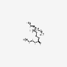 C=C(CCCN)CCCN.CCOCC.OCCO